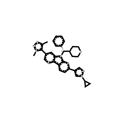 Cc1nnn(C)c1-c1cnc2c3ccc(-c4cnn(C5CC5)c4)nc3n([C@H](c3ccccc3)C3CCOCC3)c2c1